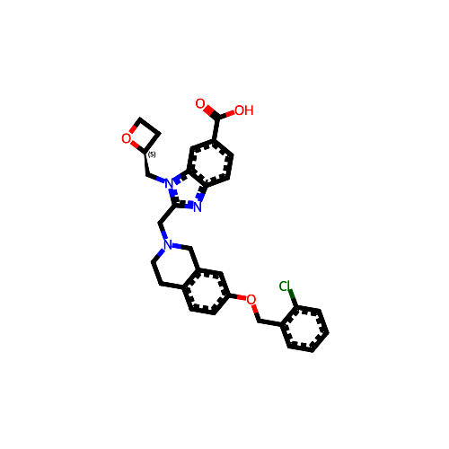 O=C(O)c1ccc2nc(CN3CCc4ccc(OCc5ccccc5Cl)cc4C3)n(C[C@@H]3CCO3)c2c1